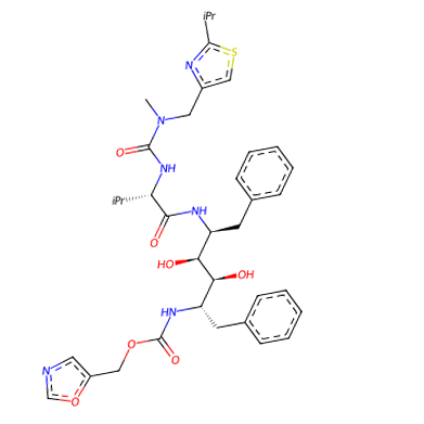 CC(C)c1nc(CN(C)C(=O)N[C@H](C(=O)N[C@@H](Cc2ccccc2)[C@H](O)[C@@H](O)[C@H](Cc2ccccc2)NC(=O)OCc2cnco2)C(C)C)cs1